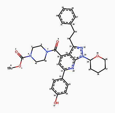 CC(C)(C)OC(=O)N1CCN(C(=O)c2cc(-c3ccc(O)cc3)nc3c2c(CCc2ccccc2)nn3C2CCCCO2)CC1